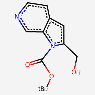 CC(C)(C)OC(=O)n1c(CO)cc2ccncc21